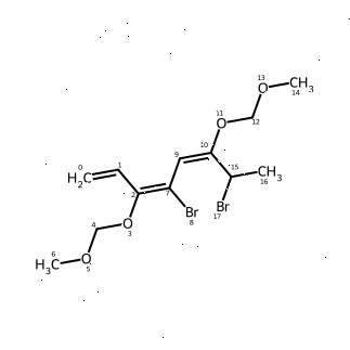 C=C/C(OCOC)=C(Br)\C=C(\OCOC)C(C)Br